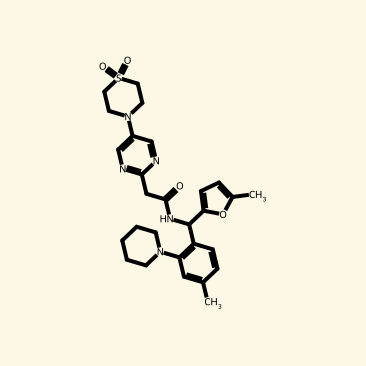 Cc1ccc(C(NC(=O)Cc2ncc(N3CCS(=O)(=O)CC3)cn2)c2ccc(C)o2)c(N2CCCCC2)c1